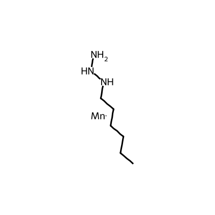 CCCCCCNNN.[Mn]